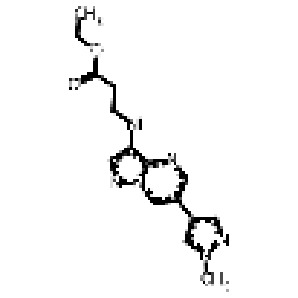 CCOC(=O)CCNc1cnn2cc(-c3cnn(C)c3)cnc12